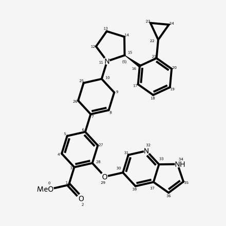 COC(=O)c1ccc(C2=CCC(N3CCC[C@H]3c3ccccc3C3CC3)CC2)cc1Oc1cnc2[nH]ccc2c1